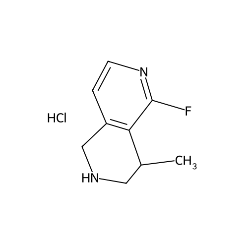 CC1CNCc2ccnc(F)c21.Cl